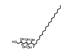 CCCCCCCCCCCCCCCCCCN(C)C(O)[C@H](O)[C@@H](O)[C@H](O)[C@H](O)CO